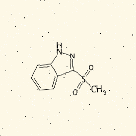 CS(=O)(=O)c1n[nH]c2cc[c]cc12